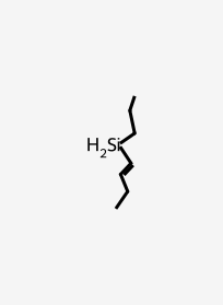 CC/C=C/[SiH2]CCC